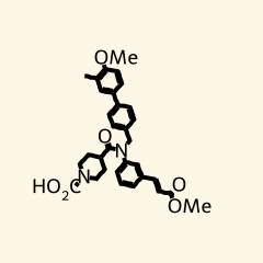 COC(=O)C=Cc1cccc(N(Cc2ccc(-c3ccc(OC)c(C)c3)cc2)C(=O)C2CCN(C(=O)O)CC2)c1